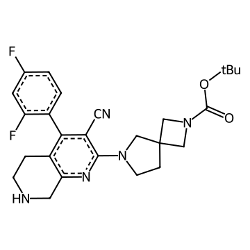 CC(C)(C)OC(=O)N1CC2(CCN(c3nc4c(c(-c5ccc(F)cc5F)c3C#N)CCNC4)C2)C1